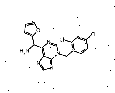 NC(c1ccco1)c1ncn(Cc2ccc(Cl)cc2Cl)c2ncnc1-2